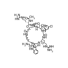 CC(=O)N[C@@H](CCCNC(=N)N)C(=O)N[C@H]1CCC(=O)NCCC[C@@H](C(N)=O)NC(=O)[C@H](Cc2c[nH]c3ccccc23)NC(=O)[C@H](CCCNC(=N)N)NC(=O)[C@@H](Cc2cccc(Cl)c2)NC(=O)[C@H]([C@@H](C)O)NC1=O